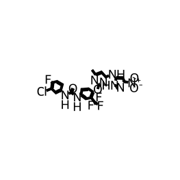 Cc1cc(Nc2cc([N+](=O)[O-])n[nH]2)nc(Oc2ccc(NC(=O)Nc3ccc(F)c(Cl)c3)cc2C(F)(F)F)n1